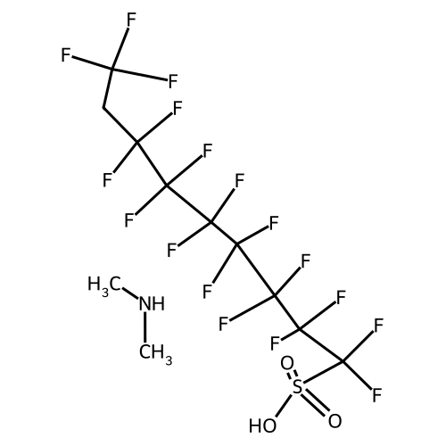 CNC.O=S(=O)(O)C(F)(F)C(F)(F)C(F)(F)C(F)(F)C(F)(F)C(F)(F)C(F)(F)CC(F)(F)F